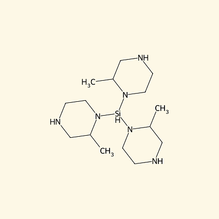 CC1CNCCN1[SiH](N1CCNCC1C)N1CCNCC1C